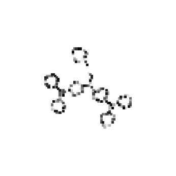 C(CCc1ccccc1)=C(c1ccc(N(c2ccccc2)c2ccccc2)cc1)c1ccc(N(c2ccccc2)c2ccccc2)cc1